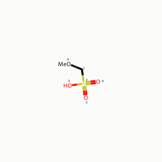 COCS(=O)(=O)O